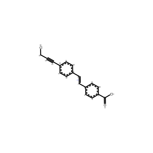 O=C(Cl)c1ccc(/C=C/c2ccc(C#CCCl)cc2)cc1